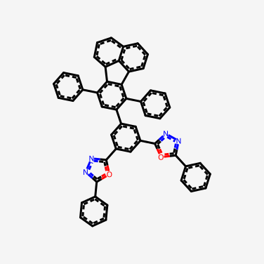 c1ccc(-c2nnc(-c3cc(-c4nnc(-c5ccccc5)o4)cc(-c4cc(-c5ccccc5)c5c(c4-c4ccccc4)-c4cccc6cccc-5c46)c3)o2)cc1